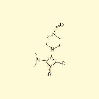 CN(C)c1c(N2CCN(C=O)CC2)c(=O)c1=O